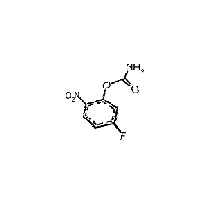 NC(=O)Oc1cc(F)ccc1[N+](=O)[O-]